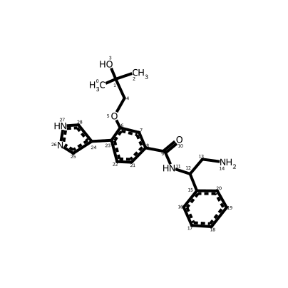 CC(C)(O)COc1cc(C(=O)NC(CN)c2ccccc2)ccc1-c1cn[nH]c1